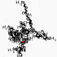 Cc1cn([C@H]2C[C@@H](OP(=S)(OCCOCCOCCNC(=O)CCOCCN)OC[C@H]3O[C@@H](n4ccc(N)nc4=O)C[C@H]3C(C)C)[C@@H](COP(=O)(S)O[C@@H]3C[C@H](n4cnc5c(=O)[nH]c(N)nc54)O[C@@H]3COP(=O)(S)O[C@@H]3C[C@H](n4ccc(N)nc4=O)O[C@@H]3COP(=O)(S)O[C@@H]3C[C@H](n4cc(Br)c(=O)[nH]c4=O)O[C@@H]3CO)O2)c(=O)[nH]c1=O